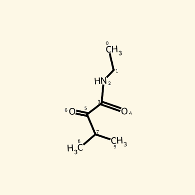 CCNC(=O)C(=O)C(C)C